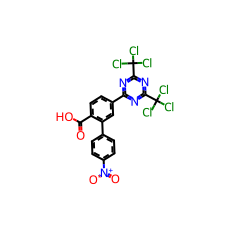 O=C(O)c1ccc(-c2nc(C(Cl)(Cl)Cl)nc(C(Cl)(Cl)Cl)n2)cc1-c1ccc([N+](=O)[O-])cc1